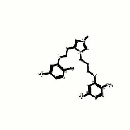 C[n+]1cc(CCOc2cc(N)ccc2N)n(CCCOc2cc(N)ccc2N)c1